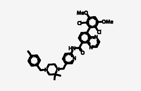 COc1cc(OC)c(Cl)c(-c2ccc(C(=O)Nc3ccc(CN4CCN(Cc5ccc(C)cc5)CC4(C)C)cn3)c3nccnc23)c1Cl